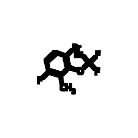 Cc1c(F)ccc(Br)c1OC(F)(F)Br